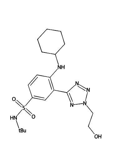 CC(C)(C)NS(=O)(=O)c1ccc(NC2CCCCC2)c(-c2nnn(CCO)n2)c1